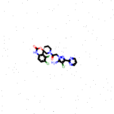 Nc1c(Cl)c(-c2ncccn2)nn1CC(=O)N1CCC[C@@]2(C1)OC(=O)Nc1ccc(Cl)c(F)c12